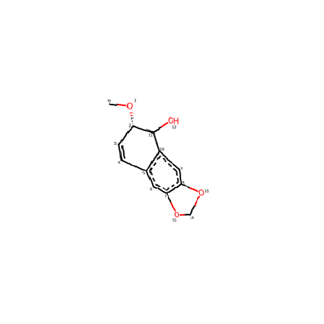 CO[C@H]1C=Cc2cc3c(cc2C1O)OCO3